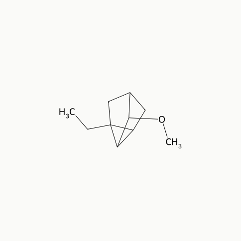 CCC12CC3CC1C2C3OC